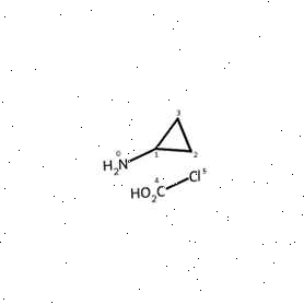 NC1CC1.O=C(O)Cl